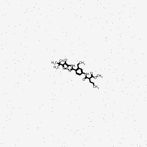 CCCC(C(=O)Nc1ccc(-c2nn3nc(C(C)(C)C)c(Cl)c3[nH]2)c(CC)c1)C(=O)OC